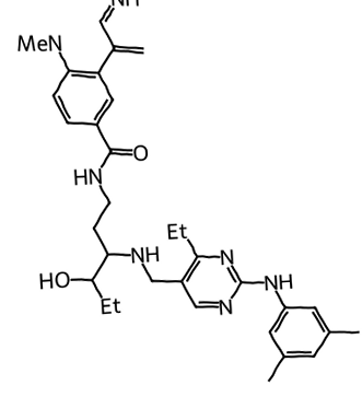 C=C(C=N)c1cc(C(=O)NCCC(NCc2cnc(Nc3cc(C)cc(C)c3)nc2CC)C(O)CC)ccc1NC